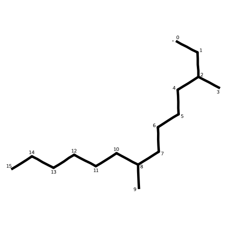 [CH2]CC(C)CCCCC(C)CCCCCC